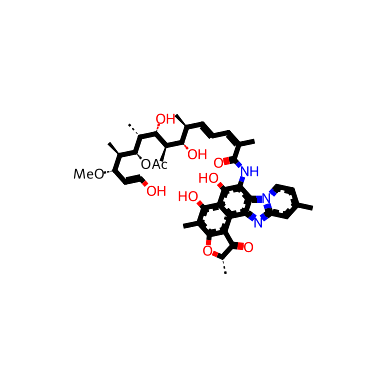 CO[C@@H](/C=C/O)[C@@H](C)[C@@H](OC(C)=O)[C@H](C)[C@H](O)[C@H](C)[C@@H](O)[C@@H](C)/C=C/C=C(/C)C(=O)Nc1c(O)c2c(O)c(C)c3c(c2c2nc4cc(C)ccn4c12)C(=O)[C@H](C)O3